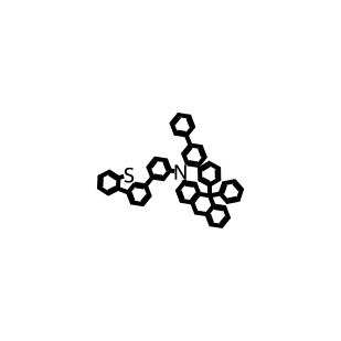 c1ccc(-c2cccc(N(c3cccc(-c4cccc5c4sc4ccccc45)c3)c3ccc4c(c3)C(c3ccccc3)(c3ccccc3)c3ccccc3C4)c2)cc1